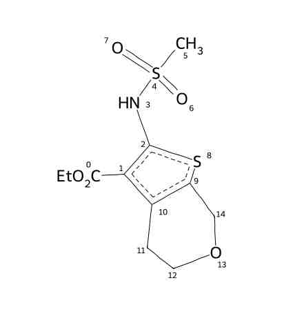 CCOC(=O)c1c(NS(C)(=O)=O)sc2c1CCOC2